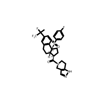 CC(F)(c1ccc2c(c1)CC[C@H]1[C@H](C(=O)N3CCc4[nH]ncc4C3)CC[C@@]21S(=O)(=O)c1ccc(F)cc1)C(F)(F)F